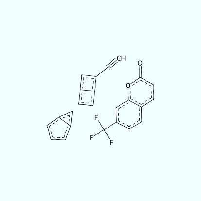 C#Cc1cc2ccc1-2.O=c1ccc2ccc(C(F)(F)F)cc2o1.c1cc2cc-2c1